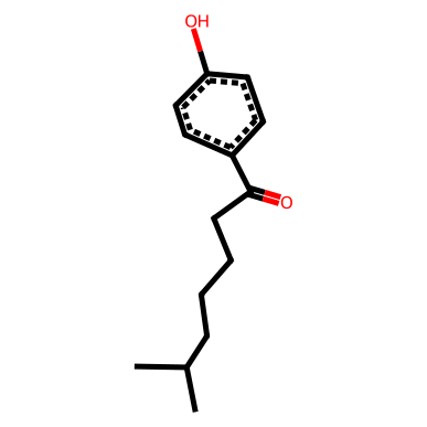 CC(C)CCCCC(=O)c1ccc(O)cc1